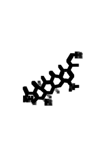 C=C(N)C1=C(C)[C@@H](CC)[C@]2(C)C[C@]3(C)Cc4c(N(C)C)cc(C(C)/C=C\CC)c(C)c4C(=C)C3=C(C)[C@]2(C)C1=C